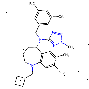 Cc1cc2c(cc1C(F)(F)F)N(CC1CCC1)CCC[C@@H]2N(Cc1cc(C(F)(F)F)cc(C(F)(F)F)c1)c1nnn(C)n1